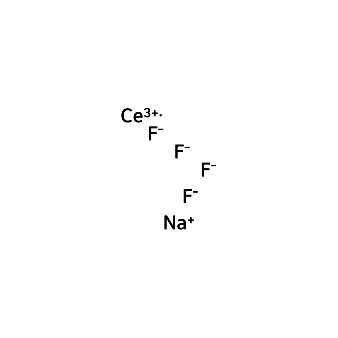 [Ce+3].[F-].[F-].[F-].[F-].[Na+]